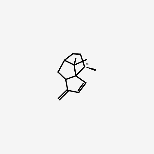 C=C1C=CC23C1CC(CC[C@H]2C)C3(C)C